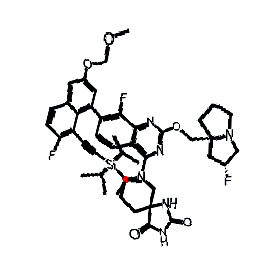 COCOc1cc(-c2ccc3c(N4CCCC5(C4)NC(=O)NC5=O)nc(OC[C@@]45CCCN4C[C@H](F)C5)nc3c2F)c2c(C#C[Si](C(C)C)(C(C)C)C(C)C)c(F)ccc2c1